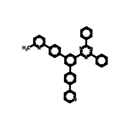 Cc1cccc(-c2ccc(-c3cc(-c4ccc(-c5cccnc5)cc4)cc(-c4nc(-c5ccccc5)nc(-c5ccccc5)n4)c3)cc2)n1